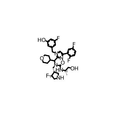 C[C@@H](CO)NC(=O)N(C[C@@H]1CNC[C@@H]1F)C(c1nc(-c2cc(F)ccc2F)cn1Cc1cc(O)cc(F)c1)C1CCOCC1